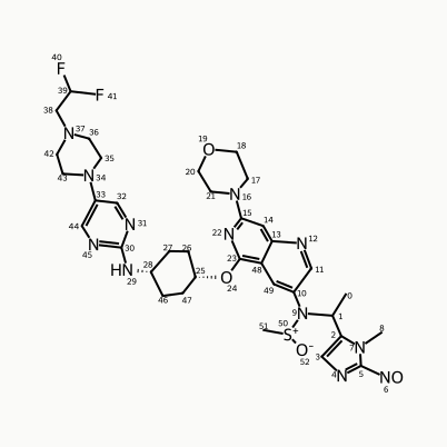 CC(c1cnc(N=O)n1C)N(c1cnc2cc(N3CCOCC3)nc(O[C@H]3CC[C@@H](Nc4ncc(N5CCN(CC(F)F)CC5)cn4)CC3)c2c1)[S+](C)[O-]